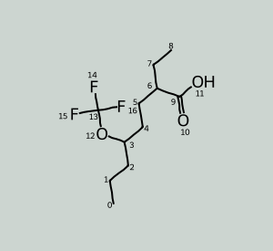 CCCC(CCC(CC)C(=O)O)OC(F)(F)F